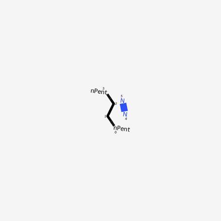 CCCCCCCCCCCC.N#N